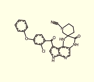 N#CN1CCCC2(C1)Nc1c(cnc3[nH]cc(C(=O)c4ccc(Oc5ccccc5)cc4Cl)c13)NC2=O